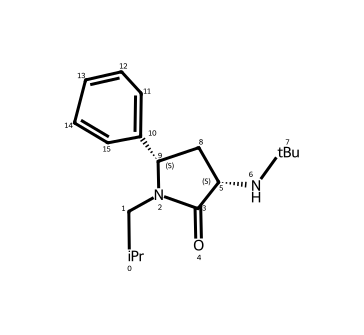 CC(C)CN1C(=O)[C@@H](NC(C)(C)C)C[C@H]1c1ccccc1